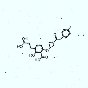 Cc1ccc(CC(=O)N2CC(Oc3ccc(CCB(O)O)c(O)c3C(=O)O)C2)cc1